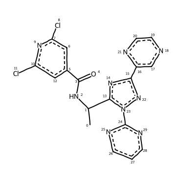 CC(NC(=O)c1cc(Cl)nc(Cl)c1)c1nc(-c2cnccn2)nn1-c1ncccn1